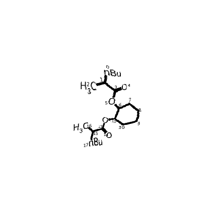 CCCCC(C)C(=O)OC1CCCCC1OC(=O)C(C)CCCC